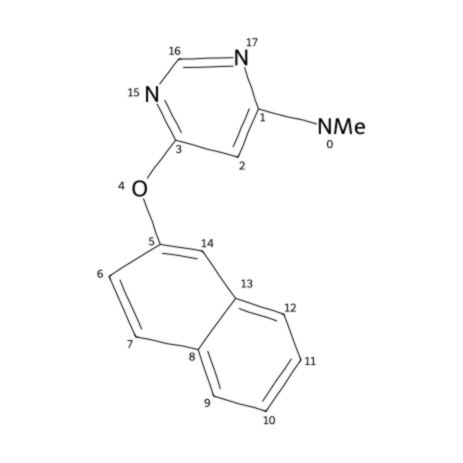 CNc1cc(Oc2ccc3ccccc3c2)ncn1